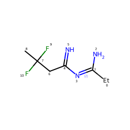 CC/C(N)=N/C(=N)CC(C)(F)F